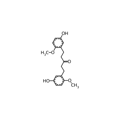 COc1ccc(O)cc1CCC(=O)CCc1cc(O)ccc1OC